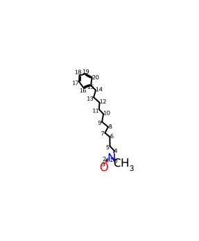 CN(C=O)CCCCCCCCCCCc1ccccc1